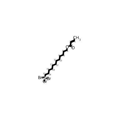 CC=CC(=O)OCCCCCCCCCCCC[Si](Br)(Br)Br